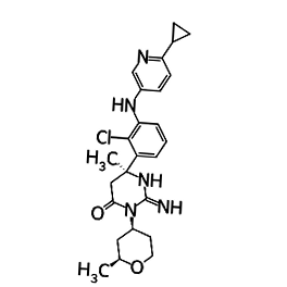 C[C@H]1C[C@@H](N2C(=N)N[C@](C)(c3cccc(Nc4ccc(C5CC5)nc4)c3Cl)CC2=O)CCO1